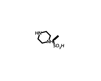 C1CNCCN1.C=CS(=O)(=O)O